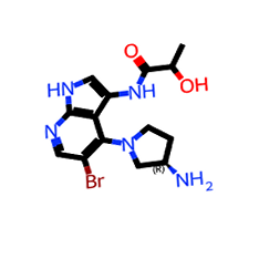 CC(O)C(=O)Nc1c[nH]c2ncc(Br)c(N3CC[C@@H](N)C3)c12